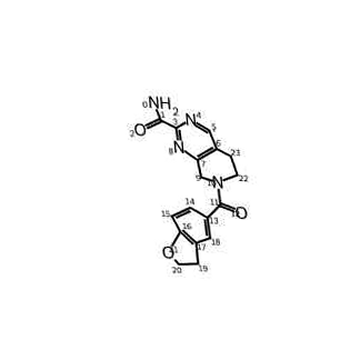 NC(=O)c1n[c]c2c(n1)CN(C(=O)c1ccc3c(c1)CCO3)CC2